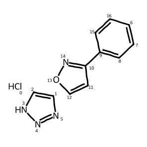 Cl.c1c[nH]nn1.c1ccc(-c2ccon2)cc1